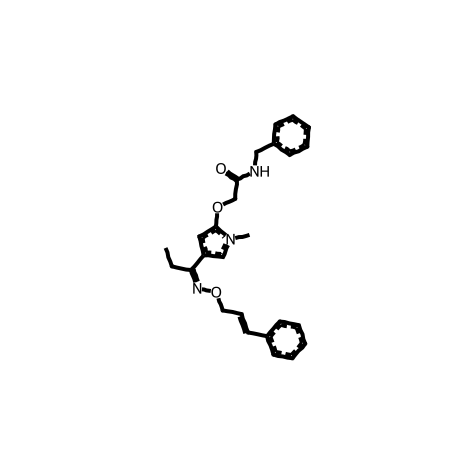 CC/C(=N/OC/C=C/c1ccccc1)c1cc(OCC(=O)NCc2ccccc2)n(C)c1